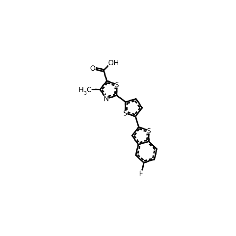 Cc1nc(-c2ccc(-c3cc4cc(F)ccc4s3)s2)sc1C(=O)O